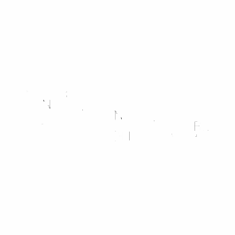 C=C(N(O)CCCN(C)C)C(C)(C)CC(C)(C)C